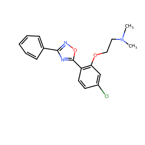 CN(C)CCOc1cc(Cl)ccc1-c1nc(-c2ccccc2)no1